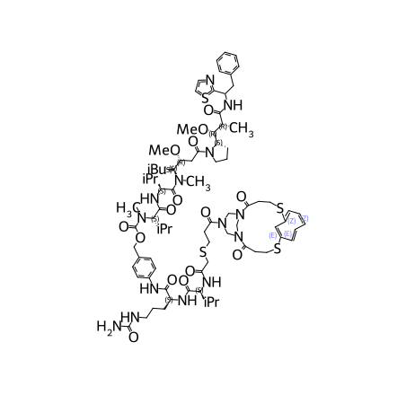 CC[C@H](C)[C@@H]([C@@H](CC(=O)N1CCC[C@H]1[C@H](OC)[C@@H](C)C(=O)NC(Cc1ccccc1)c1nccs1)OC)N(C)C(=O)[C@@H](NC(=O)[C@H](C(C)C)N(C)C(=O)OCc1ccc(NC(=O)[C@H](CCCNC(N)=O)NC(=O)[C@@H](NC(=O)CSCCC(=O)N2CN3CN(C2)C(=O)CCSC2=C/C(=C/C=C\C=C\2)SCCC3=O)C(C)C)cc1)C(C)C